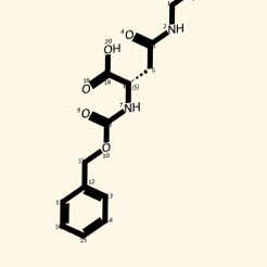 CCNC(=O)C[C@H](NC(=O)OCc1ccccc1)C(=O)O